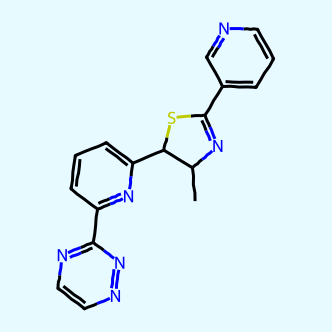 CC1N=C(c2cccnc2)SC1c1cccc(-c2nccnn2)n1